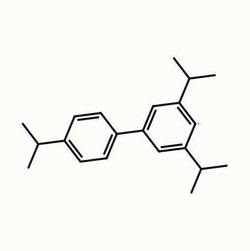 CC(C)c1[c]c(C(C)C)cc(-c2ccc(C(C)C)cc2)c1